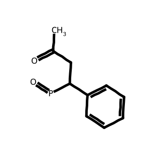 CC(=O)CC(P=O)c1ccccc1